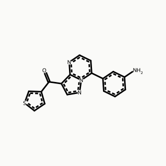 Nc1cccc(-c2ccnc3c(C(=O)c4ccsc4)cnn23)c1